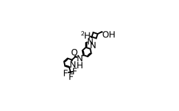 [2H]C1(n2cc3cc(NC(=O)c4cccc(C(F)(F)F)n4)ccc3n2)CC(CO)C1